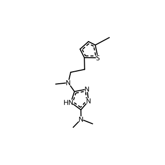 Cc1ccc(CCN(C)c2nnc(N(C)C)[nH]2)s1